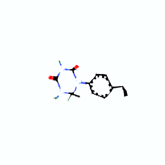 C=Cc1ccc(N2C(=O)N(Cl)C(=O)N(Cl)C2(C)Cl)cc1